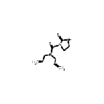 C=CCN(CC=C)C(=S)N1CCNC1=S